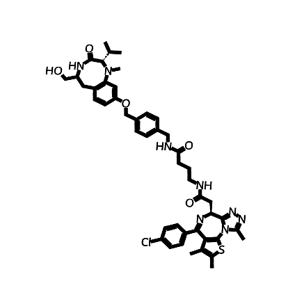 Cc1sc2c(c1C)C(c1ccc(Cl)cc1)=N[C@@H](CC(=O)NCCCC(=O)NCc1ccc(COc3ccc4c(c3)N(C)[C@@H](C(C)C)C(=O)NC(CO)C4)cc1)c1nnc(C)n1-2